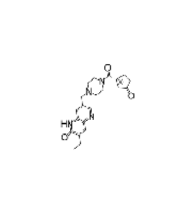 CCc1cc2ncc(CN3CCN(C(=O)[C@@H]4CCC(=O)C4)CC3)cc2[nH]c1=O